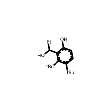 CCC(O)c1c(O)ccc(C(C)(C)C)c1C(C)(C)C